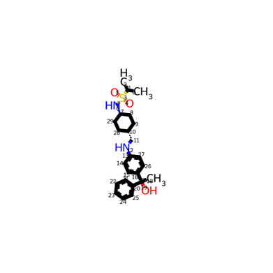 CC(C)S(=O)(=O)N[C@H]1CC[C@H](CNc2ccc(C(C)(O)c3ccccc3)cc2)CC1